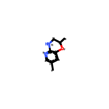 Cc1cnc2c(c1)OC(C)CN2